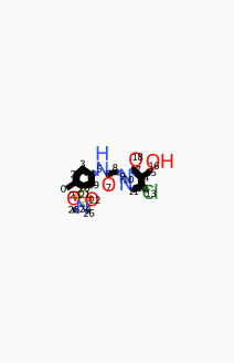 Cc1ccc(NC(=O)Cn2ncc(Cl)c(CO)c2=O)cc1S(=O)(=O)N(C)C